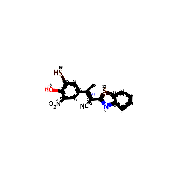 C/C(=C(/C#N)c1nc2ccccc2s1)c1cc(S)c(O)c([N+](=O)[O-])c1